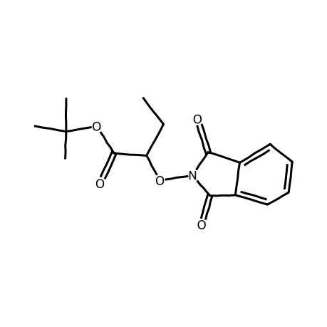 CCC(ON1C(=O)c2ccccc2C1=O)C(=O)OC(C)(C)C